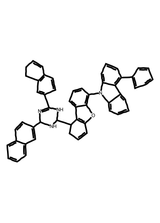 C1=Cc2ccc(C3=NC(c4ccc5ccccc5c4)NC(C4CC=Cc5oc6c(-n7c8ccccc8c8c(-c9ccccc9)cccc87)cccc6c54)N3)cc2CC1